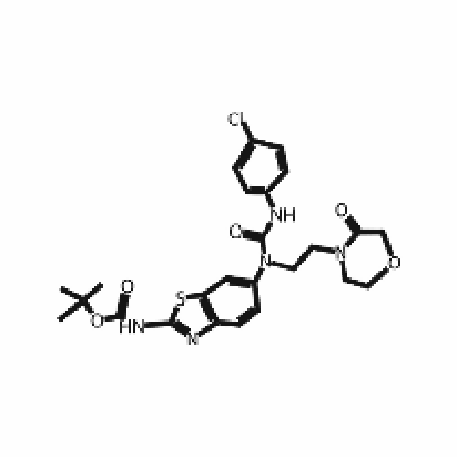 CC(C)(C)OC(=O)Nc1nc2ccc(N(CCN3CCOCC3=O)C(=O)Nc3ccc(Cl)cc3)cc2s1